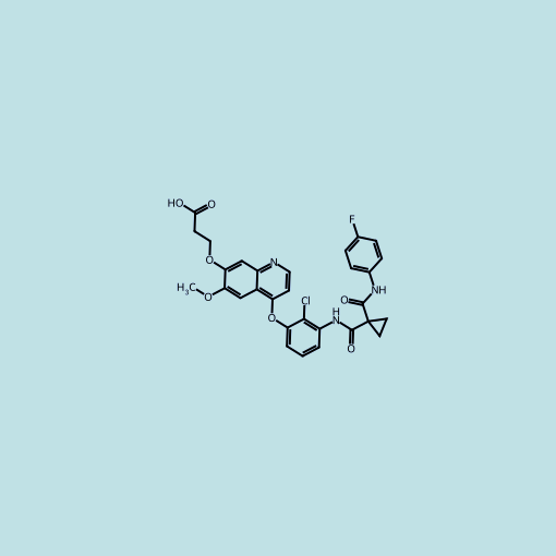 COc1cc2c(Oc3cccc(NC(=O)C4(C(=O)Nc5ccc(F)cc5)CC4)c3Cl)ccnc2cc1OCCC(=O)O